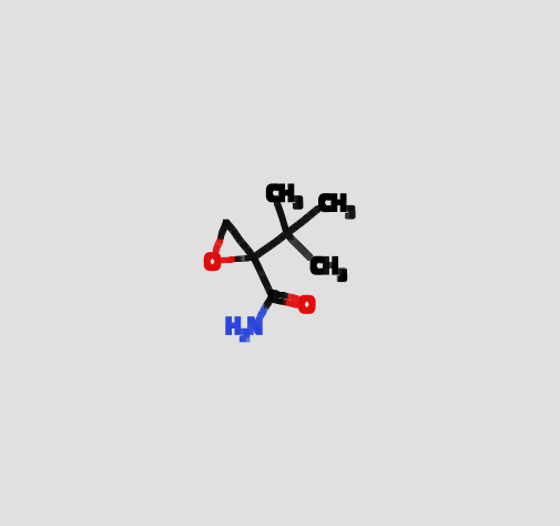 CC(C)(C)C1(C(N)=O)CO1